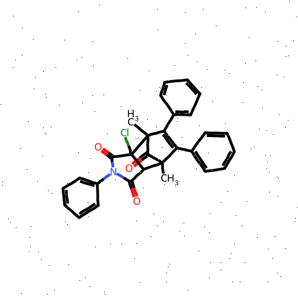 CC12C(=O)C(C)(C(c3ccccc3)=C1c1ccccc1)C1(Cl)C(=O)N(c3ccccc3)C(=O)C21